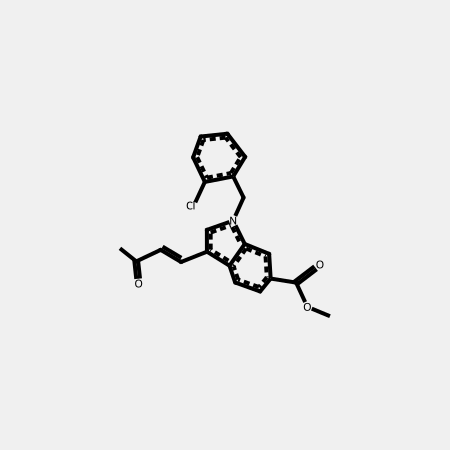 COC(=O)c1ccc2c(C=CC(C)=O)cn(Cc3ccccc3Cl)c2c1